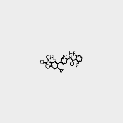 Cn1c2c(oc1=O)CC(C1CC1)C(c1ccc(NC(=O)c3c(F)cccc3F)nc1)=C2